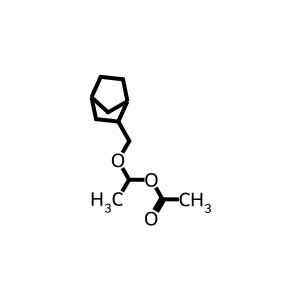 CC(=O)OC(C)OCC1CC2CCC1C2